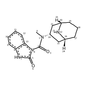 CN(C(=O)n1c(=O)[nH]c2ccccc21)[C@H]1C[C@H]2CCC[C@@H](C1)N2C